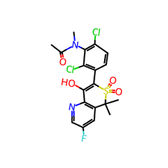 CC(=O)N(C)c1c(Cl)ccc(C2=C(O)c3ncc(F)cc3C(C)(C)S2(=O)=O)c1Cl